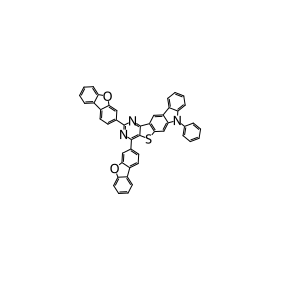 c1ccc(-n2c3ccccc3c3cc4c(cc32)sc2c(-c3ccc5c(c3)oc3ccccc35)nc(-c3ccc5c(c3)oc3ccccc35)nc24)cc1